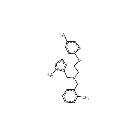 Cc1ccccc1CN(CCOc1ccc(C(F)(F)F)cc1)Cc1nccn1C